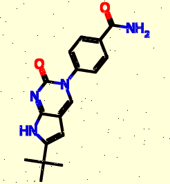 CC(C)(C)c1cc2cn(-c3ccc(C(N)=O)cc3)c(=O)nc2[nH]1